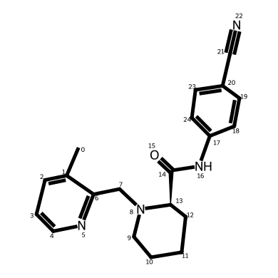 Cc1cccnc1CN1CCCC[C@@H]1C(=O)Nc1ccc(C#N)cc1